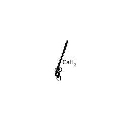 CCCCCCCCCCCCCCCCCC(=O)Oc1ccc(Cl)cc1.[CaH2]